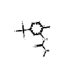 CNC(=O)Nc1cc(C(F)(F)F)ccc1F